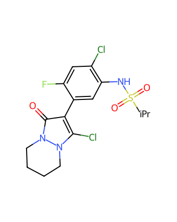 CC(C)S(=O)(=O)Nc1cc(-c2c(Cl)n3n(c2=O)CCCC3)c(F)cc1Cl